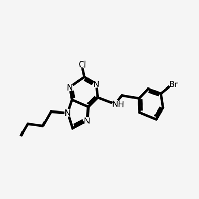 CCCCn1cnc2c(NCc3cccc(Br)c3)nc(Cl)nc21